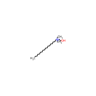 CCCCCCCCCCCCCCCCCC[N+](C)(CC)CCO